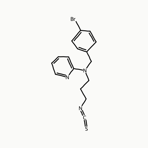 S=C=NCCCN(Cc1ccc(Br)cc1)c1ccccn1